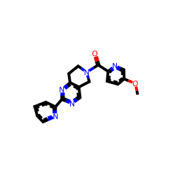 COc1ccc(C(=O)N2CCc3nc(-c4ccccn4)ncc3C2)nc1